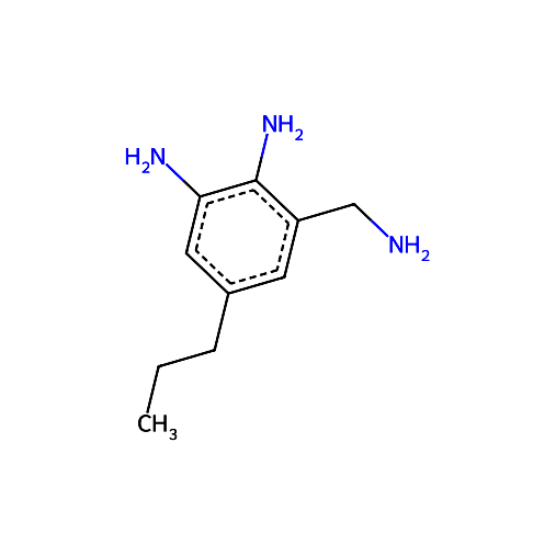 CCCc1cc(N)c(N)c(CN)c1